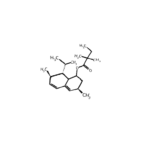 CCC(C)(C)C(=O)OC1C[C@@H](C)C=C2C=C[C@@H](C)[C@H](C(C)C)C21